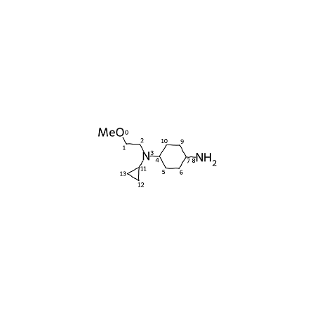 COCCN(C1CCC(N)CC1)C1CC1